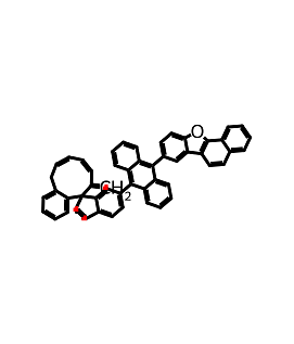 C=C1/C=C\C=C/Cc2ccccc2C12c1ccccc1-c1ccc(-c3c4ccccc4c(-c4ccc5oc6c7ccccc7ccc6c5c4)c4ccccc34)cc12